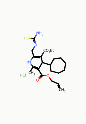 C=CCOC(=O)C1=C(C)NC(CN=C(N)S)=C(C(=O)OCC)C1C1CCCCCC1.Cl